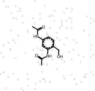 CC(=O)Nc1ccc(CO)c(NC(C)=O)c1